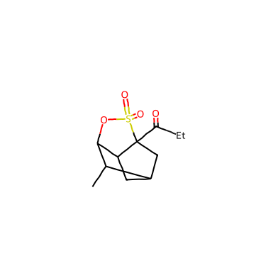 CCC(=O)C12CC3CC1C(OS2(=O)=O)C3C